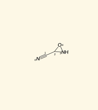 N#CC1NO1